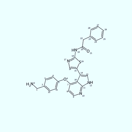 NCc1ccc(Oc2ccnc3[nH]cc(-c4cnc(NC(=O)Cc5ccccc5)s4)c23)cc1